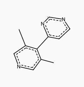 Cc1cncc(C)c1-c1ccn[c]n1